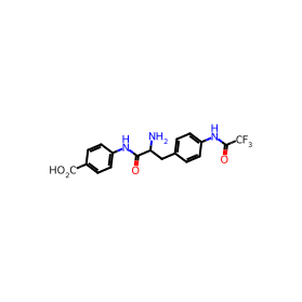 NC(Cc1ccc(NC(=O)C(F)(F)F)cc1)C(=O)Nc1ccc(C(=O)O)cc1